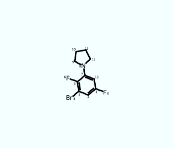 Fc1cc(Br)c(F)c(N2CCCC2)c1